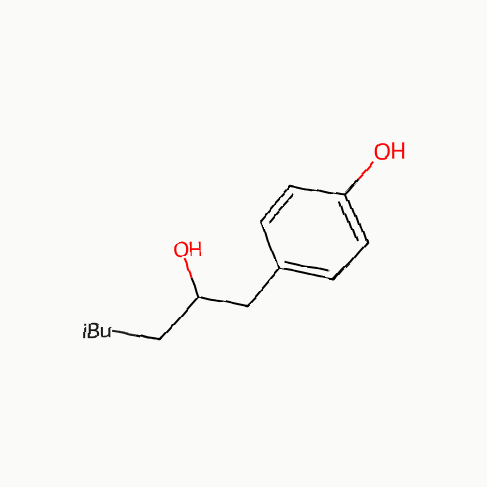 CCC(C)CC(O)Cc1ccc(O)cc1